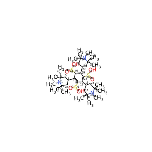 CN1C(C)(C)CC(c2c(S(=O)O)c(C3CC(C)(C)N(C)C(C)(C)C3)c(S(=O)O)c(C3CC(C)(C)N(C)C(C)(C)C3)c2S(=O)O)CC1(C)C